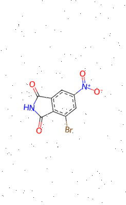 O=C1NC(=O)c2c(Br)cc([N+](=O)[O-])cc21